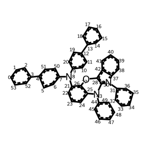 c1ccc(-c2ccc(N(c3ccc(-c4ccccc4)cc3)c3cccc4c3Oc3c(n(-c5ccccc5)c5ccccc35)N4c3ccccc3)cc2)cc1